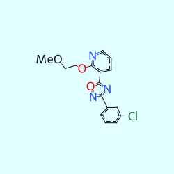 COCCOc1ncccc1-c1nc(-c2cccc(Cl)c2)no1